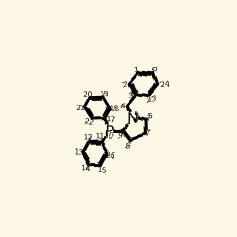 c1ccc(CN2CCCC2P(c2ccccc2)c2ccccc2)cc1